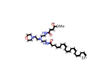 CC/C=C\C/C=C\C/C=C\C/C=C\C/C=C\C/C=C\CCC(=O)NCCN(CCNC(=O)/C=C/C(=O)OC)CCN1CCOCC1